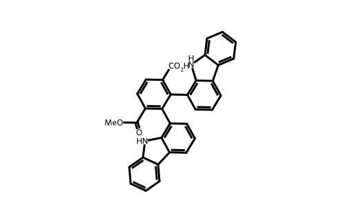 COC(=O)c1ccc(C(=O)O)c(-c2cccc3c2[nH]c2ccccc23)c1-c1cccc2c1[nH]c1ccccc12